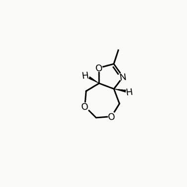 CC1=N[C@@H]2COCOC[C@@H]2O1